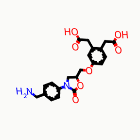 NCc1ccc(N2CC(COc3ccc(CC(=O)O)c(CC(=O)O)c3)OC2=O)cc1